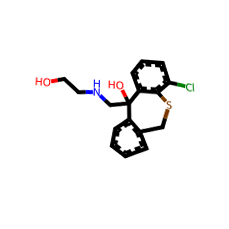 OCCNCC1(O)c2ccccc2CSc2c(Cl)cccc21